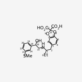 CCC(Cc1ccc2c(c1)OC(C(=O)O)(C(=O)O)O2)NCC(O)c1cccc(SC)c1